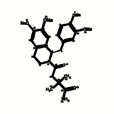 COc1ccc(C[C@H]2c3cc(OC)c(OC)cc3CCN2C(=O)[CH]C(C)(C)C(N)=O)cc1OC